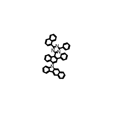 c1ccc(-c2nc(-c3cccc4ccccc34)nc(-c3c(-c4ccccc4)cc(-n4c5ccccc5c5cc6ccccc6cc54)c4ccccc34)n2)cc1